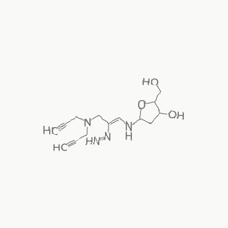 C#CCN(CC#C)C/C(=C/NC1CC(O)C(CO)O1)N=N